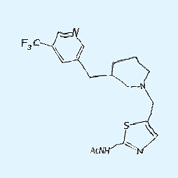 CC(=O)Nc1ncc(CN2CCCC(Cc3cncc(C(F)(F)F)c3)C2)s1